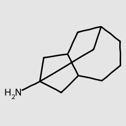 NC12CC3CCCC(C1)C(C3)C2